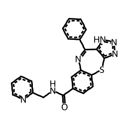 O=C(NCc1ccccn1)c1ccc2c(c1)N=C(c1ccccc1)c1[nH]nnc1S2